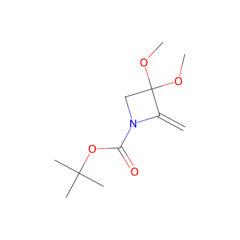 C=C1N(C(=O)OC(C)(C)C)CC1(OC)OC